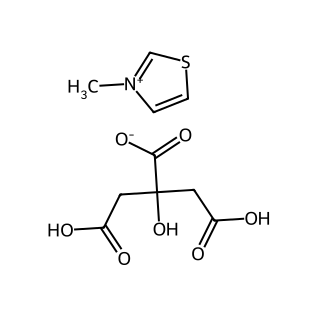 C[n+]1ccsc1.O=C(O)CC(O)(CC(=O)O)C(=O)[O-]